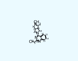 CN1CC2CN(c3nc(CCl)nc4ccccc34)CC2C1